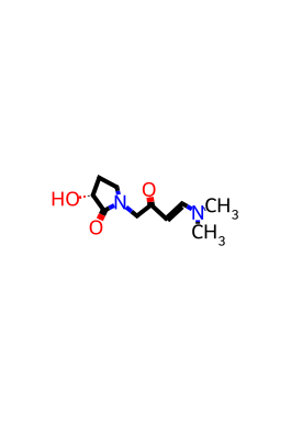 CN(C)/C=C/C(=O)CN1CC[C@@H](O)C1=O